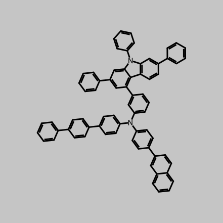 c1ccc(-c2ccc(-c3ccc(N(c4ccc(-c5ccc6ccccc6c5)cc4)c4cccc(-c5cc(-c6ccccc6)cc6c5c5ccc(-c7ccccc7)cc5n6-c5ccccc5)c4)cc3)cc2)cc1